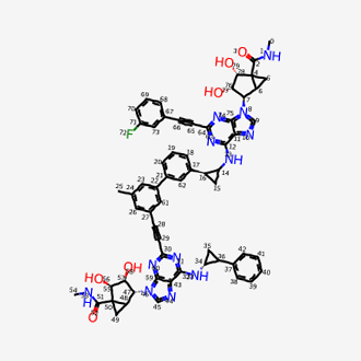 CNC(=O)C12CC1[C@@H](n1cnc3c(NC4C[C@H]4c4cccc(-c5cc(C)cc(C#Cc6nc(N[C@@H]7CC7c7ccccc7)c7ncn([C@@H]8C9CC9(C(=O)NC)[C@@H](O)[C@H]8O)c7n6)c5)c4)nc(C#Cc4cccc(F)c4)nc31)[C@H](O)[C@@H]2O